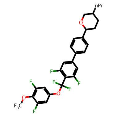 CCCC1CCC(c2ccc(-c3cc(F)c(C(F)(F)Oc4cc(F)c(OC(F)(F)F)c(F)c4)c(F)c3)cc2)OC1